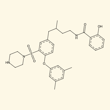 Cc1cc(C)cc(Oc2ccc(CC(C)CCNC(=O)c3ccccc3O)cc2S(=O)(=O)N2CCNCC2)c1